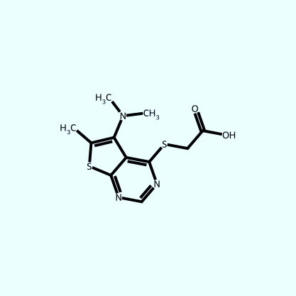 Cc1sc2ncnc(SCC(=O)O)c2c1N(C)C